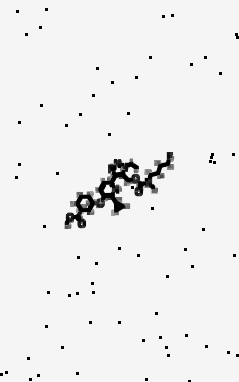 CCn1nnc(-c2ccc(O[C@H]3CCC[C@H](C(=O)OC)C3)c(C3CC3)n2)c1COC(=O)N(C)CCCCF